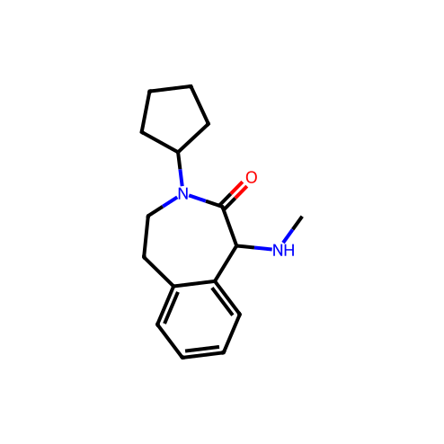 CNC1C(=O)N(C2CCCC2)CCc2ccccc21